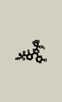 CCCS(=O)(=O)Nc1cccc(-c2nc(C(C)(CO)CO)sc2-c2ccnc(Cl)n2)c1F